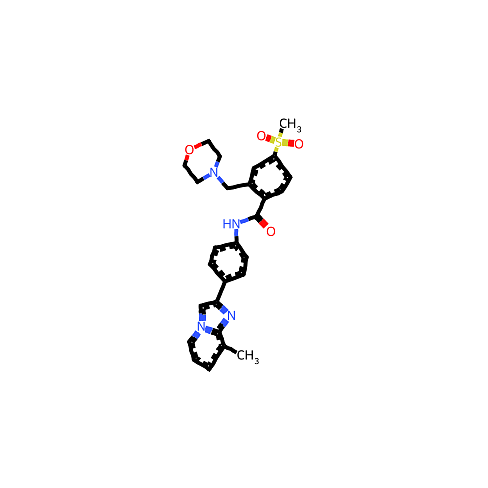 Cc1cccn2cc(-c3ccc(NC(=O)c4ccc(S(C)(=O)=O)cc4CN4CCOCC4)cc3)nc12